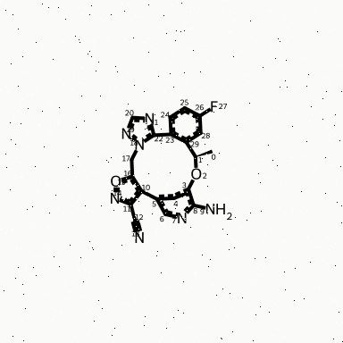 C[C@H]1Oc2cc(cnc2N)-c2c(C#N)noc2Cn2ncnc2-c2ccc(F)cc21